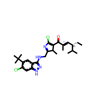 CC[C@@H](/C=C(\C)C(=O)C1=C(Cl)N=C(CNc2n[nH]c3cc(Cl)c(C(C)(C)C)cc23)C1C)C(C)C